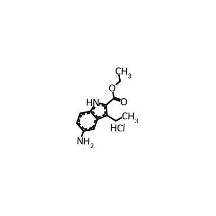 CCOC(=O)c1[nH]c2ccc(N)cc2c1CC.Cl